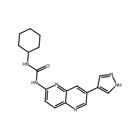 O=C(Nc1ccc2ncc(-c3cn[nH]c3)cc2n1)NC1CCCCC1